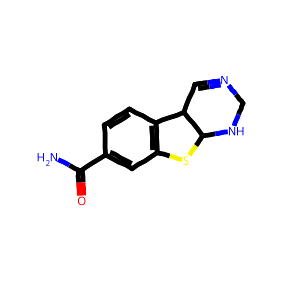 NC(=O)c1ccc2c(c1)SC1NCN=CC21